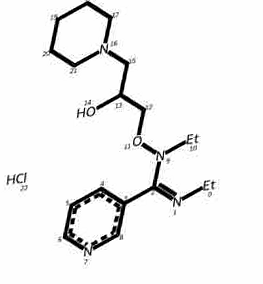 CCN=C(c1cccnc1)N(CC)OCC(O)CN1CCCCC1.Cl